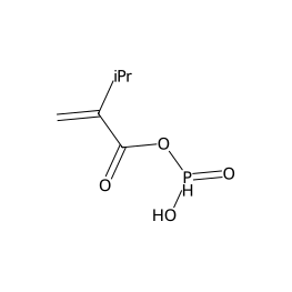 C=C(C(=O)O[PH](=O)O)C(C)C